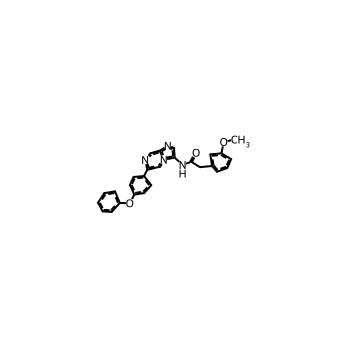 COc1cccc(CC(=O)Nc2cnc3cnc(-c4ccc(Oc5ccccc5)cc4)cn23)c1